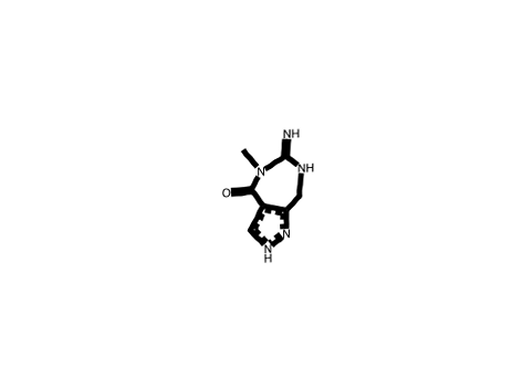 CN1C(=N)NCc2n[nH]cc2C1=O